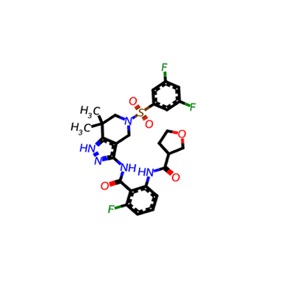 CC1(C)CN(S(=O)(=O)c2cc(F)cc(F)c2)Cc2c(NC(=O)c3c(F)cccc3NC(=O)C3CCOC3)n[nH]c21